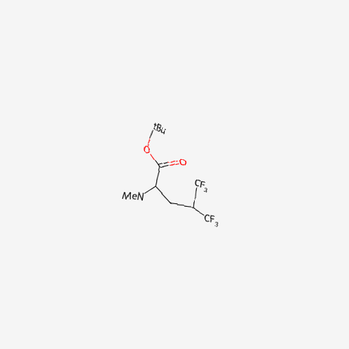 CNC(CC(C(F)(F)F)C(F)(F)F)C(=O)OC(C)(C)C